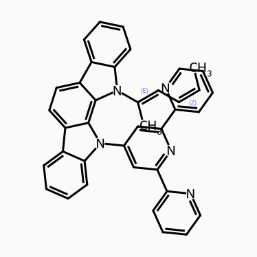 C/C=C\C=C(/C)n1c2ccccc2c2ccc3c4ccccc4n(-c4cc(-c5ccccn5)nc(-c5ccccn5)c4)c3c21